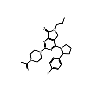 CCCN1Cc2c(nc(N3CCN(C(C)=O)CC3)nc2N2CCCC2c2ccc(F)cc2)C1=O